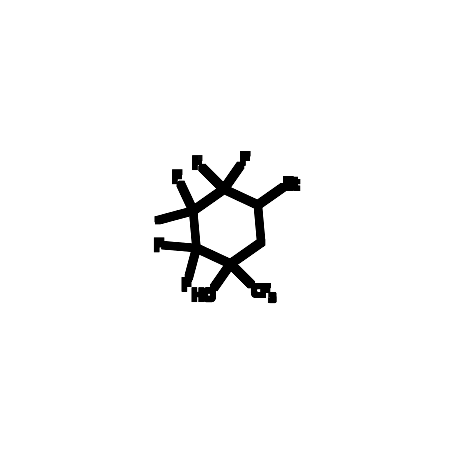 CCC1CC(O)(C(F)(F)F)C(F)(F)C(C)(F)C1(F)F